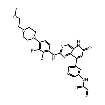 C=CC(=O)Nc1cccc(-c2cc(=O)[nH]c3cnc(Nc4ccc(N5CCN(CCOC)CC5)c(F)c4F)nc23)c1